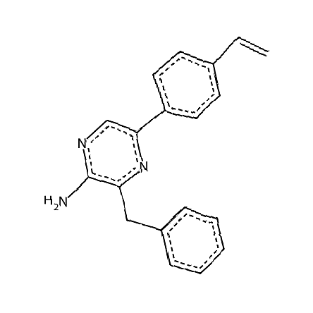 C=Cc1ccc(-c2cnc(N)c(Cc3ccccc3)n2)cc1